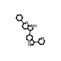 c1ccc(-c2ccc3c(-c4ccn5ncc(-c6cccnc6)c5c4)c[nH]c3n2)cc1